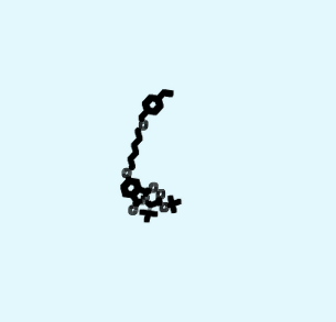 C=Cc1ccc(COCCCCCCOc2ccc3c(c2)C(=O)N([C@H](C(=O)OC(C)(C)C)C(C)(C)C)C3=O)cc1